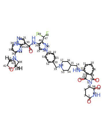 O=C1CCC(N2C(=O)c3cccc(NCC4CCN(Cc5ccc(-n6cc(NC(=O)c7cnn8ccc(N9C[C@H]%10C[C@@H]9CO%10)nc78)c(C(F)F)n6)cc5)CC4)c3C2=O)C(=O)N1